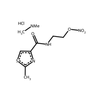 CNC.Cc1nc(C(=O)NCCO[N+](=O)[O-])cs1.Cl